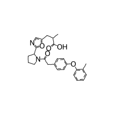 Cc1ccccc1Oc1ccc(CC(=O)N2CCCC2c2ncc(CC(C)C(=O)O)o2)cc1